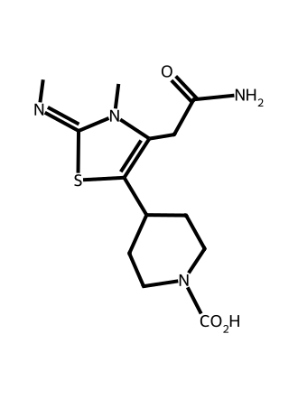 CN=c1sc(C2CCN(C(=O)O)CC2)c(CC(N)=O)n1C